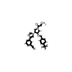 C=CC(=O)N1C[C@@H](n2cc(-c3cccc(C#N)c3)nn2)[C@H](OCc2ccc(C(F)(F)F)cc2)C1